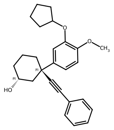 COc1ccc([C@@]2(C#Cc3ccccc3)CCC[C@@H](O)C2)cc1OC1CCCC1